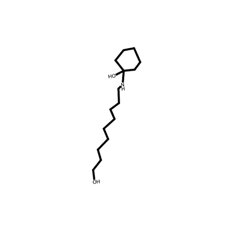 OCCCCCCCCCNC1(O)CCCCC1